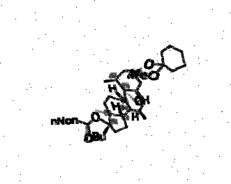 CCCCCCCCCC(=O)O[C@@]1(CCCC)CC[C@H]2[C@@H]3[C@H](C)C=C4C[C@@H](OC5(OC)CCCCC5)C[C@H](C)[C@]4(CO)[C@H]3CC[C@@]21C